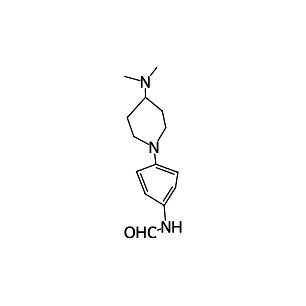 CN(C)C1CCN(c2ccc(NC=O)cc2)CC1